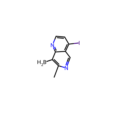 Bc1c(C)ncc2c(I)ccnc12